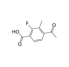 CC(=O)c1ccc(C(=O)O)c(F)c1C